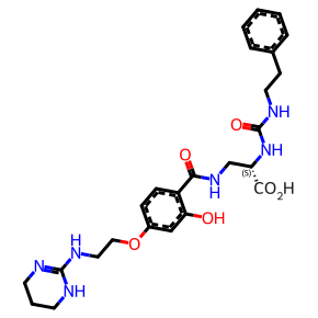 O=C(NCCc1ccccc1)N[C@@H](CNC(=O)c1ccc(OCCNC2=NCCCN2)cc1O)C(=O)O